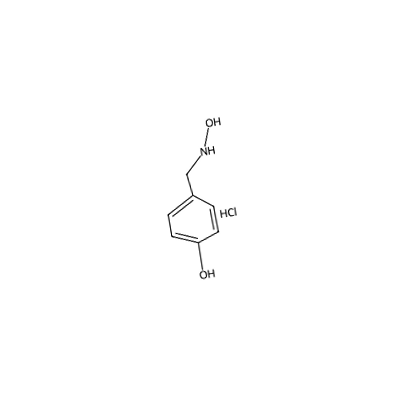 Cl.ONCc1ccc(O)cc1